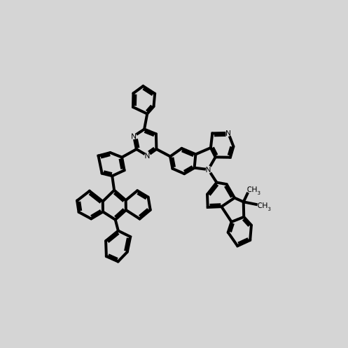 CC1(C)c2ccccc2-c2ccc(-n3c4ccncc4c4cc(-c5cc(-c6ccccc6)nc(-c6cccc(-c7c8ccccc8c(-c8ccccc8)c8ccccc78)c6)n5)ccc43)cc21